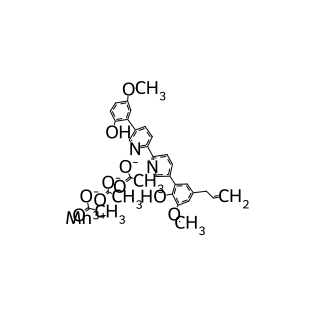 C=CCc1cc(OC)c(O)c(-c2ccc(-c3ccc(-c4cc(OC)ccc4O)cn3)nc2)c1.CC(=O)[O-].CC(=O)[O-].CC(=O)[O-].[Mn+3]